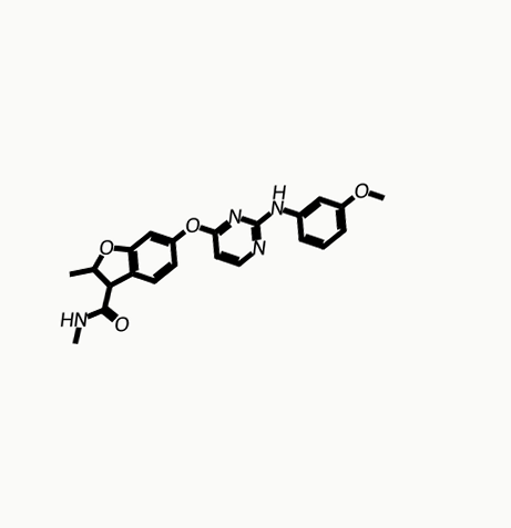 CNC(=O)C1c2ccc(Oc3ccnc(Nc4cccc(OC)c4)n3)cc2OC1C